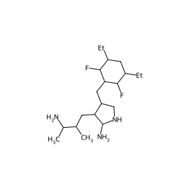 CCC1CC(CC)C(F)C(CC2CNC(N)C2CC(C)C(C)N)C1F